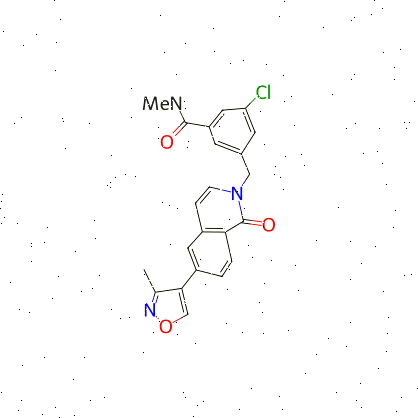 CNC(=O)c1cc(Cl)cc(Cn2ccc3cc(-c4conc4C)ccc3c2=O)c1